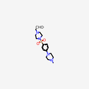 CN1CCN(c2ccc(S(=O)(=O)N3CCN(C[C]=O)CC3)cc2)CC1